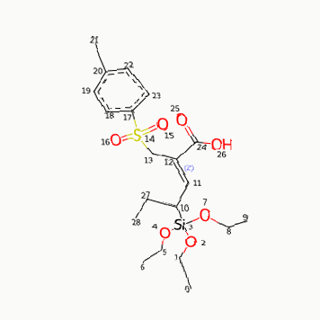 CCO[Si](OCC)(OCC)C(/C=C(\CS(=O)(=O)c1ccc(C)cc1)C(=O)O)CC